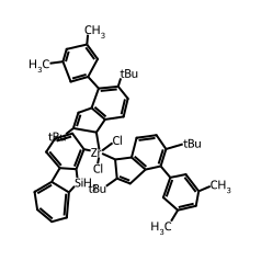 Cc1cc(C)cc(-c2c(C(C)(C)C)ccc3c2C=C(C(C)(C)C)[CH]3[Zr]([Cl])([Cl])([c]2cccc3c2[SiH2]c2ccccc2-3)[CH]2C(C(C)(C)C)=Cc3c2ccc(C(C)(C)C)c3-c2cc(C)cc(C)c2)c1